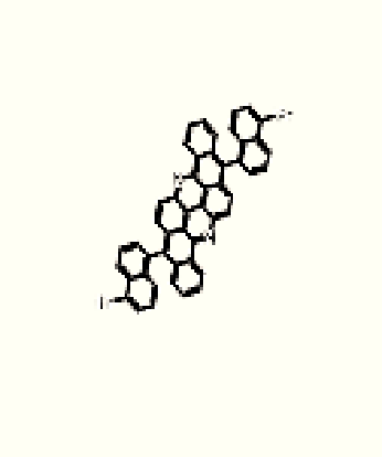 CC(C)c1cccc2c(-c3c4ccccc4c4nc5ccc6c(-c7cccc8c(C(C)C)cccc78)c7ccccc7c7nc8ccc3c4c8c5c67)cccc12